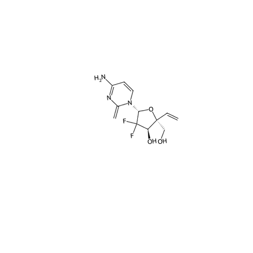 C=C[C@]1(CO)O[C@@H](N2C=CC(N)=NC2=C)C(F)(F)[C@@H]1O